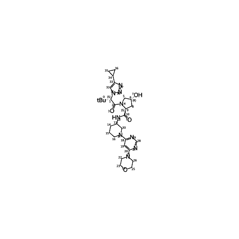 CC(C)(C)[C@@H](C(=O)N1C[C@H](O)C[C@H]1C(=O)NC1CCCN(c2cc(N3CCOCC3)ncn2)C1)n1cc(C2CC2)nn1